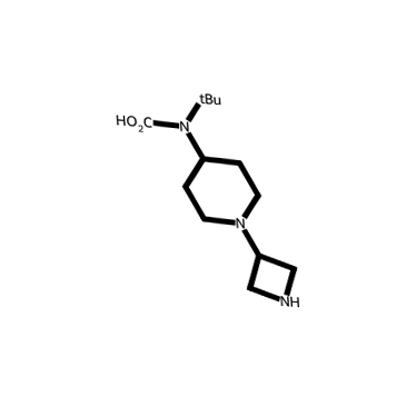 CC(C)(C)N(C(=O)O)C1CCN(C2CNC2)CC1